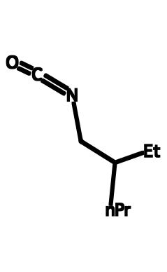 CCCC(CC)CN=C=O